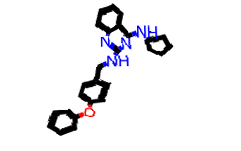 c1ccc(Oc2ccc(CNc3nc(NC4CCCC4)c4ccccc4n3)cc2)cc1